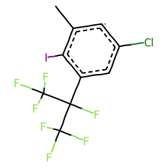 Cc1[c]c(Cl)cc(C(F)(C(F)(F)F)C(F)(F)F)c1I